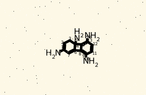 NC1=CCC2(N)C(=C1)c1c(N)ccc(N)c12